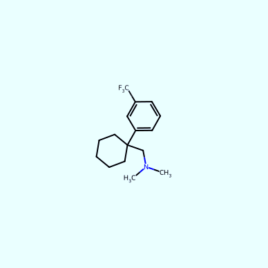 CN(C)CC1(c2cccc(C(F)(F)F)c2)CCCCC1